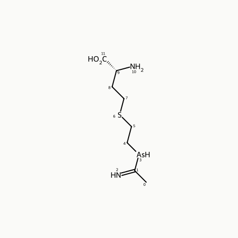 CC(=N)[AsH]CCSCC[C@@H](N)C(=O)O